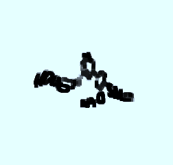 CCCOc1cc(-c2cncc([C@@H]3COB(O)C3)c2)ccc1SC